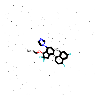 COCO[C@H]1c2c(-n3ccnc3)ccc([C@H]3CC[C@H](F)c4cc(F)cc(C#N)c43)c2CC1(F)F